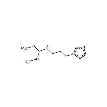 COC(OC)[SiH2]CCCn1ccnc1